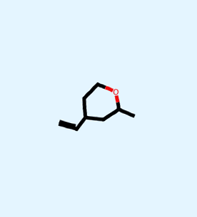 C=CC1CCOC(C)C1